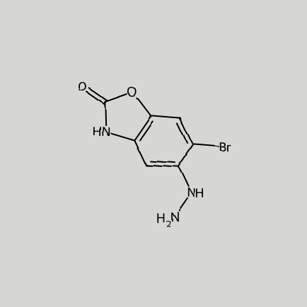 NNc1cc2[nH]c(=O)oc2cc1Br